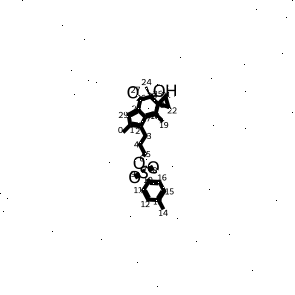 CC1=C(CCCOS(=O)(=O)c2ccc(C)cc2)C2=C(C)C3(CC3)[C@@](C)(O)C(=O)C2=C1